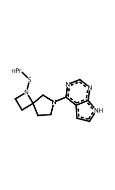 CCCSN1CCC12CCN(c1ncnc3[nH]ccc13)C2